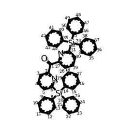 O=C(c1cccc([Si](c2ccccc2)(c2ccccc2)c2ccccc2)n1)c1cccc([Si](c2ccccc2)(c2ccccc2)c2ccccc2)n1